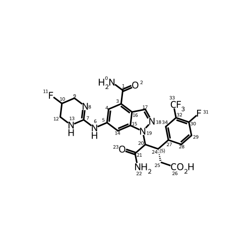 NC(=O)c1cc(NC2=NCC(F)CN2)cc2c1cnn2C(C(N)=O)[C@@H](CC(=O)O)c1ccc(F)c(C(F)(F)F)c1